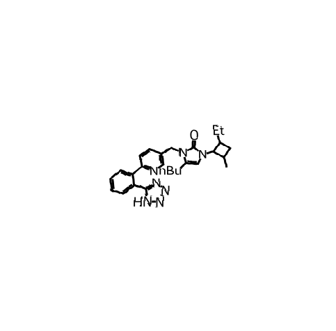 CCCCc1cn(C2C(C)CC2CC)c(=O)n1Cc1ccc(-c2ccccc2-c2nnn[nH]2)nc1